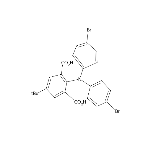 CC(C)(C)c1cc(C(=O)O)c(N(c2ccc(Br)cc2)c2ccc(Br)cc2)c(C(=O)O)c1